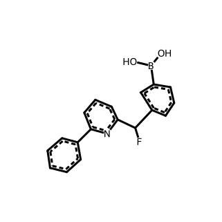 OB(O)c1cccc(C(F)c2cccc(-c3ccccc3)n2)c1